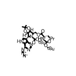 CC(C)C[C@H](NC(=O)OC(C)(C)C)C(=O)OC[C@@H]1[C@H]2OC(C)(C)O[C@H]2[C@H](c2c[nH]c3c(N=[N+]=[N-])ncnc23)N1C(=O)OC(C)(C)C